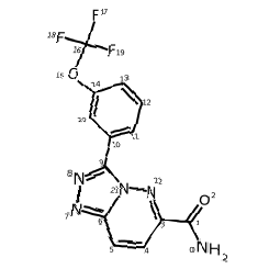 NC(=O)c1ccc2nnc(-c3cccc(OC(F)(F)F)c3)n2n1